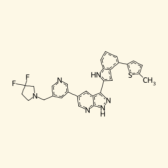 Cc1ccc(-c2cccc3[nH]c(-c4n[nH]c5ncc(-c6cncc(CN7CCC(F)(F)C7)c6)cc45)cc23)s1